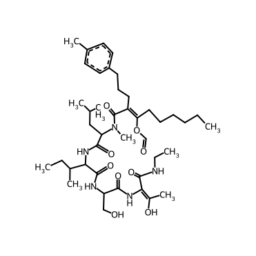 CCCCCC/C(OC=O)=C(\CCCc1ccc(C)cc1)C(=O)N(C)C(CC(C)C)C(=O)NC(C(=O)NC(CO)C(=O)N/C(C(=O)NCC)=C(/C)O)C(C)CC